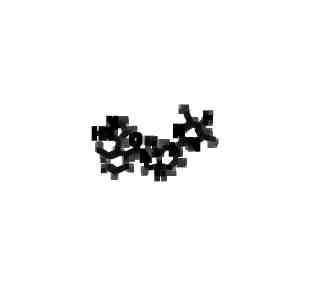 Cc1cccc(C(=O)N2C[C@H]3CCN(c4nc(C)c(F)c(C)n4)C[C@H]32)c1C1CC=NN1